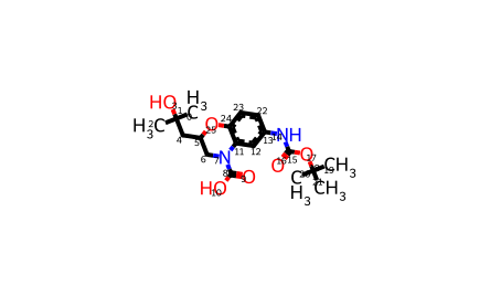 CC(C)(O)CC1CN(C(=O)O)c2cc(NC(=O)OC(C)(C)C)ccc2O1